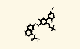 COc1ccc(F)c(-c2cc(C)c(COc3ccc4c(c3)[C@@H](CC(=O)O)CCC4)cc2/C=C/C(C)(C)C)c1